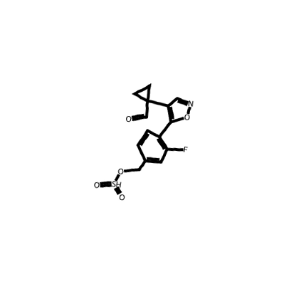 O=CC1(c2cnoc2-c2ccc(CO[SH](=O)=O)cc2F)CC1